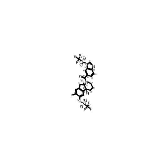 Cc1cc2c(cc1OS(=O)(=O)C(F)(F)F)[C@H]1CCCN(C(=O)c3ccc4ncn(S(=O)(=O)C(F)(F)F)c4c3)[C@H]1C2